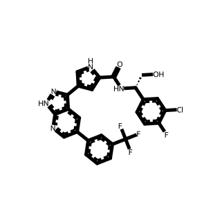 O=C(N[C@H](CO)c1ccc(F)c(Cl)c1)c1cc(-c2n[nH]c3ncc(-c4cccc(C(F)(F)F)c4)cc23)c[nH]1